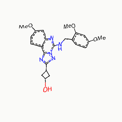 COc1ccc(CNc2nc3cc(OC)ccc3c3nc(C4CC(O)C4)nn23)c(OC)c1